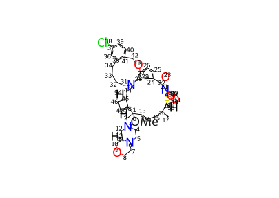 CO[C@@]1(CN2CCN3CCOC[C@@H]3C2)/C=C/C[C@H](C)[C@H]2CCN(C(=O)c3ccc4c(c3)N(CCCCc3cc(Cl)ccc3CO4)C[C@@H]3CC[C@H]31)S2(=O)=O